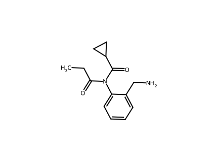 CCC(=O)N(C(=O)C1CC1)c1ccccc1CN